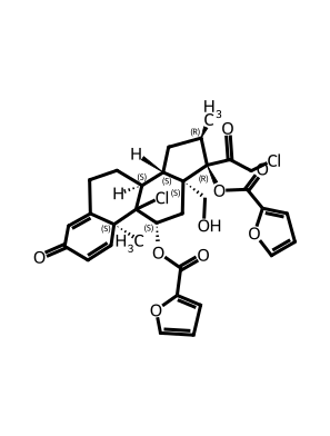 C[C@@H]1C[C@H]2[C@@H]3CCC4=CC(=O)C=C[C@]4(C)C3(Cl)[C@@H](OC(=O)c3ccco3)C[C@]2(CO)[C@@]1(OC(=O)c1ccco1)C(=O)CCl